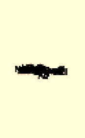 COC(=O)[C@H](Cc1ccc(-c2ccc(C#N)cc2)cc1)NC(=O)C1Cc2cc3c(cc2CN1C(=O)O)O[C@@H](c1ccc(OCc2ccc(Cl)c(Cl)c2)cc1)CN3C(C)=O